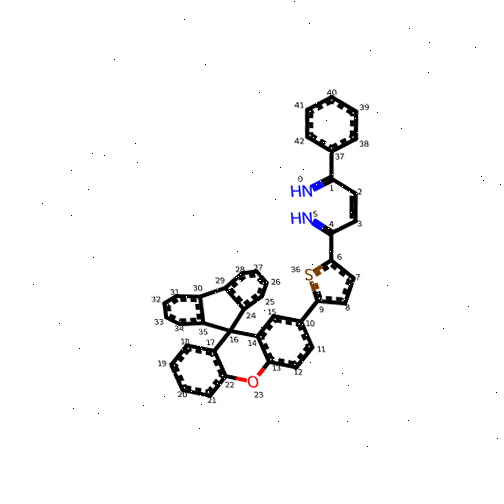 N=C(/C=C\C(=N)c1ccc(-c2ccc3c(c2)C2(c4ccccc4O3)c3ccccc3-c3ccccc32)s1)c1ccccc1